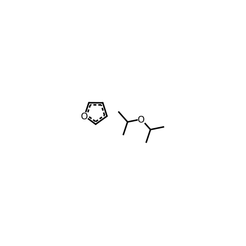 CC(C)OC(C)C.c1ccoc1